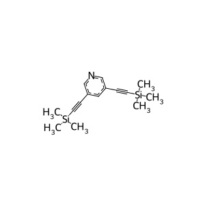 C[Si](C)(C)C#Cc1cncc(C#C[Si](C)(C)C)c1